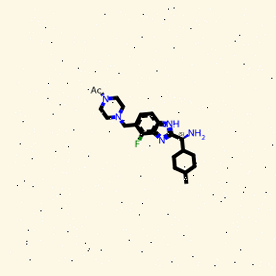 CC(=O)N1CCN(Cc2ccc3[nH]c([C@@H](N)C4CCC(C)CC4)nc3c2F)CC1